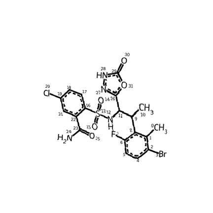 Cc1c(Br)ccc(F)c1C(C)C(NS(=O)(=O)c1ccc(Cl)cc1C(N)=O)c1n[nH]c(=O)o1